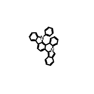 c1ccc(-n2c3ccccc3c3ccc4c(c5ccccc5n5cc6ccccc6c45)c32)cc1